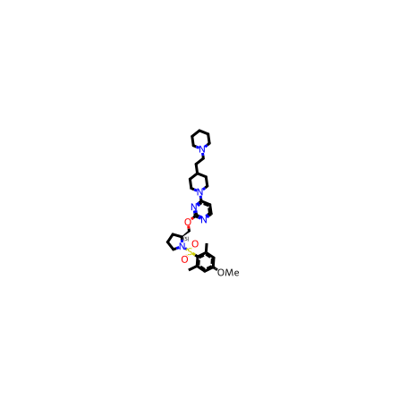 COc1cc(C)c(S(=O)(=O)N2CCC[C@H]2COc2nccc(N3CCC(CCN4CCCCC4)CC3)n2)c(C)c1